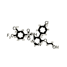 O=S(=O)(Nc1ncnc(OCCO)c1-c1ccc(Cl)cc1)c1ccc(C(F)(F)F)c(Cl)c1